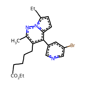 CCOC(=O)CCCCc1c(C)nn2c(CC)ccc2c1-c1cncc(Br)c1